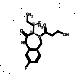 CC[C@H](C)[C@H]1C(=O)Nc2cc(F)ccc2CN1C(=O)CCO